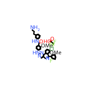 COc1cc(Nc2ncc3c(n2)-c2ccc(Cl)cc2C(c2c(F)cccc2OC)=NC3)ccc1C(=O)Nc1cccc(CCCN)c1.O=C(O)C(F)(F)F